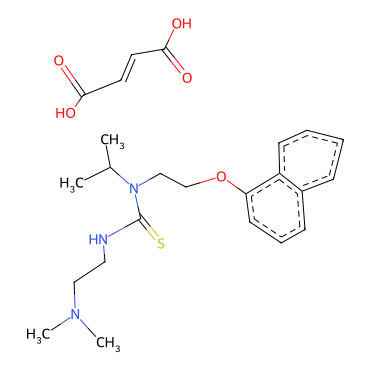 CC(C)N(CCOc1cccc2ccccc12)C(=S)NCCN(C)C.O=C(O)C=CC(=O)O